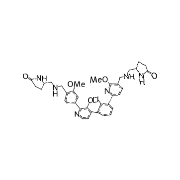 COc1cc(-c2nccc(-c3cccc(-c4ccc(CNCC5CCC(=O)N5)c(OC)n4)c3Cl)c2Cl)ccc1CNCC1CCC(=O)N1